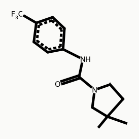 CC1(C)C[CH]N(C(=O)Nc2ccc(C(F)(F)F)cc2)C1